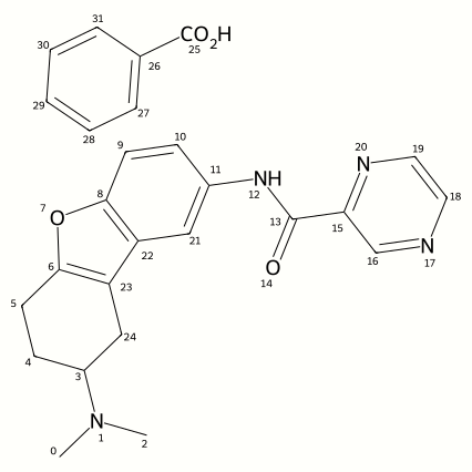 CN(C)C1CCc2oc3ccc(NC(=O)c4cnccn4)cc3c2C1.O=C(O)c1ccccc1